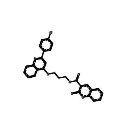 O=C(OCCCSc1cc(-c2ccc(Cl)cc2)nc2ccccc12)c1cc2ccccc2oc1=O